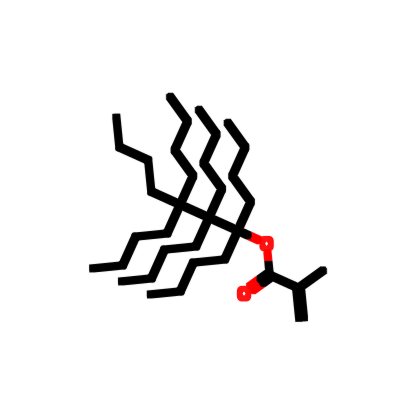 C=C(C)C(=O)OC(CCCC)(CCCC)C(CCCC)(CCCC)C(CCCC)(CCCC)CCCC